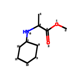 COC(=O)C(C)NC1CCCCC1